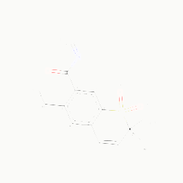 C=NC(=O)c1cc2c(cc1CC)C=CC(C)(C)S2(=O)=O